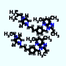 CCc1nc2c(C)cc(C)nc2n1Cc1ccc(C=CCN2C[C@H]3C[C@@H]2CN3CC(C)C)cc1.CCc1nc2c(C)cc(C)nc2n1Cc1ccc(C=CCN2C[C@H]3C[C@@H]2CN3CC)cc1